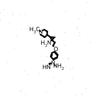 CN1CCC(C2CC2(N)CCOc2ccc(N(N)C=N)cc2)CC1